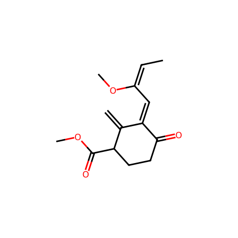 C=C1/C(=C\C(=C/C)OC)C(=O)CCC1C(=O)OC